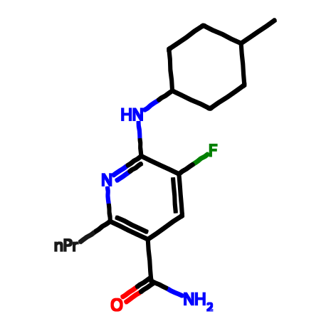 CCCc1nc(NC2CCC(C)CC2)c(F)cc1C(N)=O